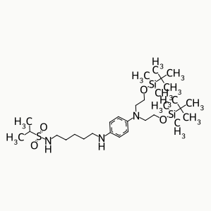 CC(C)S(=O)(=O)NCCCCCNc1ccc(N(CCO[Si](C)(C)C(C)(C)C)CCO[Si](C)(C)C(C)(C)C)cc1